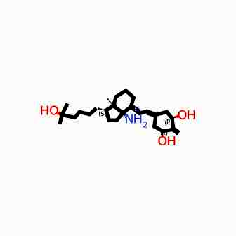 C=C1[C@H](O)CC(=C/C=C2\CCC[C@]3(C)[C@@H](CCCCC(C)(C)O)CC[C@@]23N)C[C@H]1O